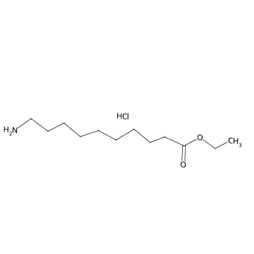 CCOC(=O)CCCCCCCCCN.Cl